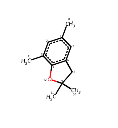 Cc1cc(C)c2c(c1)CC(C)(C)O2